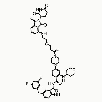 O=C1CCC(N2C(=O)c3cccc(NCCOCCC(=O)N4CCN(c5ccc(C(=O)Nc6n[nH]c7ccc(Cc8cc(F)cc(F)c8)cc67)c(NC6CCOCC6)c5)CC4)c3C2=O)C(=O)N1